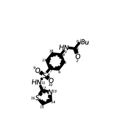 CCC(C)C(=O)Nc1ccc(S(=O)(=O)Nc2nccs2)cc1